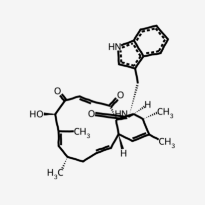 CC1=C[C@@H]2/C=C/C[C@H](C)/C=C(\C)[C@@H](O)C(=O)/C=C/C(=O)[C@]23C(=O)N[C@@H](Cc2c[nH]c4ccccc24)[C@@H]3[C@@H]1C